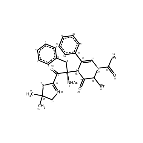 CC(=O)N[C@](Cc1ccccc1)(C(=O)C1=NCC(C)(C)S1)N1C(=O)C(C(C)C)N(C(=O)C(C)C)C=C1c1ccccc1